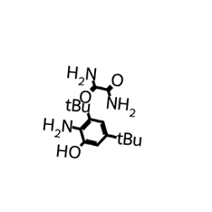 CC(C)(C)c1cc(O)c(N)c(C(C)(C)C)c1.NC(=O)C(N)=O